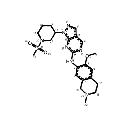 COc1cc2c(cc1Nc1ncc3cnn(C4CCCN(S(C)(=O)=O)C4)c3n1)CN(C)CC2